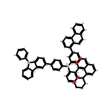 c1ccc(-n2c3ccccc3c3cc(-c4ccc(N(c5cccc(-c6cccc7c6ccc6ccccc67)c5)c5ccccc5-c5cccc6cccc(C7CCCCC7)c56)cc4)ccc32)cc1